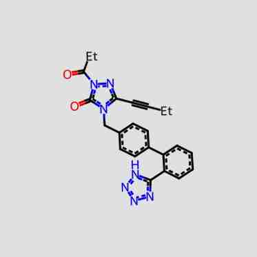 CCC#Cc1nn(C(=O)CC)c(=O)n1Cc1ccc(-c2ccccc2-c2nnn[nH]2)cc1